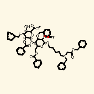 COC(=O)C1O[C@@H](O[C@@H]2C(COC(=O)c3ccccc3)O[C@@H](OCCCCCN(CC(=O)OCc3ccccc3)Cc3ccccc3)C(N=[N+]=[N-])C2OCc2ccccc2)[C@@H](OC(=O)c2ccccc2)C(OCc2ccccc2)[C@H]1O